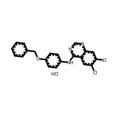 Cl.Clc1cc2ncnc(Nc3ccc(OCc4ccccc4)cc3)c2cc1Cl